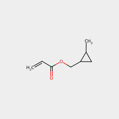 C=CC(=O)OCC1CC1C